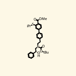 COC(=O)c1ccc(-c2ccc(CCN(C[C@H](O)c3ccccc3)C(=O)OC(C)(C)C)cc2)cc1SC(C)C